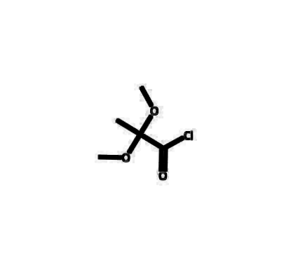 COC(C)(OC)C(=O)Cl